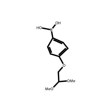 COC(COc1ccc(B(O)O)cc1)OC